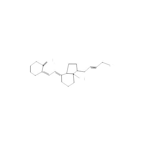 C=C1CCCC/C1=C/C=C1\CCCC2(S)C(C/C=C/CC(C)C)CCC12